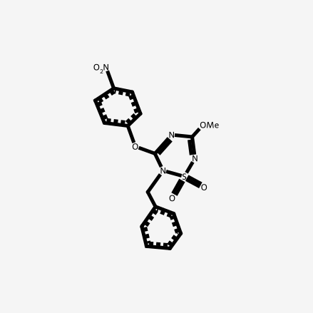 COC1=NS(=O)(=O)N(Cc2ccccc2)C(Oc2ccc([N+](=O)[O-])cc2)=N1